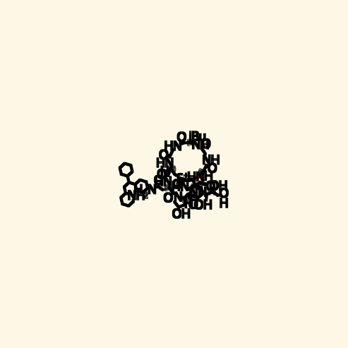 C1CCC(C(CC2CCCCN2)C2CCCCC2)CC1.CCC(C)[C@@H]1NC(=O)CNC(=O)[C@@H]2Cc3c([nH]c4cc(O)ccc34)[S@+]([O-])C[C@H](NC(=O)CNC1=O)C(=O)N[C@@H](CC(N)=O)C(=O)N1CC(O)C[C@H]1C(=O)N[C@@H](C(C)[C@@H](O)CO)C(=O)N2